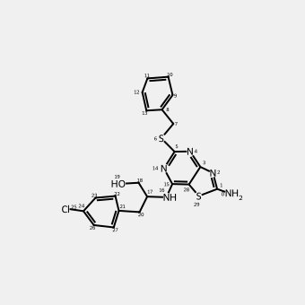 Nc1nc2nc(SCc3ccccc3)nc(NC(CO)Cc3ccc(Cl)cc3)c2s1